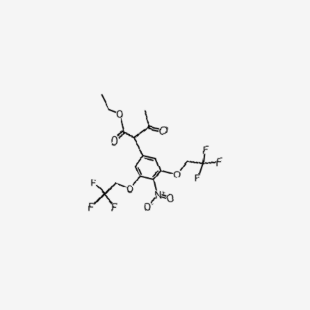 CCOC(=O)C(C(C)=O)c1cc(OCC(F)(F)F)c([N+](=O)[O-])c(OCC(F)(F)F)c1